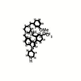 COC1=CC(CN2CCN(CC3=CCC4C(=C3)C(C3CCC(OC(F)(F)F)C=C3CN)=CN4C3CCNCC3)CC2)CC=C1